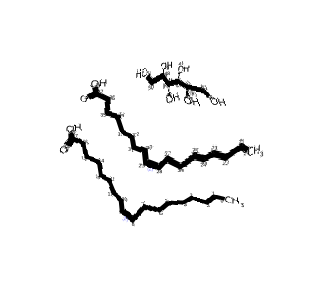 CCCCCCCC/C=C\CCCCCCCC(=O)O.CCCCCCCC/C=C\CCCCCCCC(=O)O.OC[C@@H](O)[C@@H](O)[C@H](O)[C@@H](O)CO